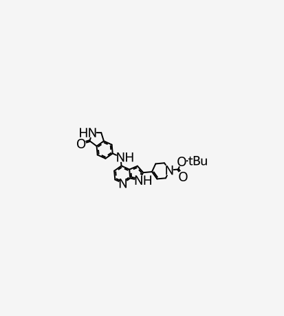 CC(C)(C)OC(=O)N1CC=C(c2cc3c(Nc4ccc5c(c4)CNC5=O)ccnc3[nH]2)CC1